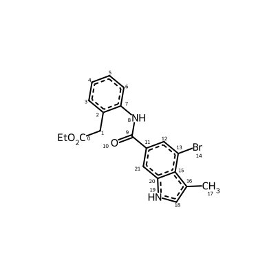 CCOC(=O)Cc1ccccc1NC(=O)c1cc(Br)c2c(C)c[nH]c2c1